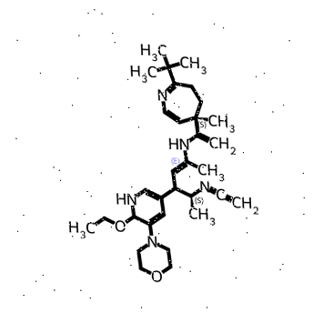 C=C=N[C@@H](C)C(/C=C(\C)NC(=C)[C@]1(C)C=CN=C(C(C)(C)C)CC1)C1=CNC(OCC)C(N2CCOCC2)=C1